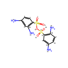 Nc1ccc(S(=O)(=O)OS(=O)(=O)c2cc(N)ccc2N)c(N)c1